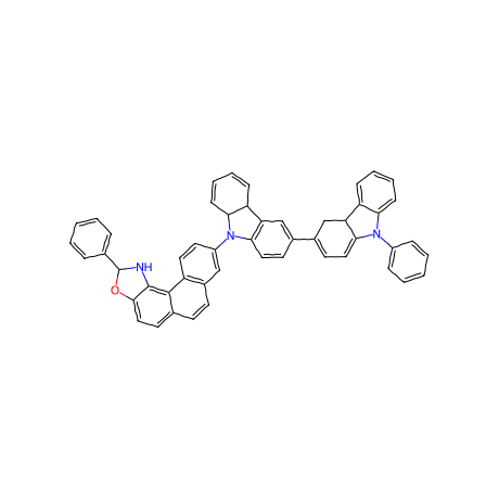 C1=CC2c3cc(C4=CC=C5C(C4)c4ccccc4N5c4ccccc4)ccc3N(c3ccc4c(ccc5ccc6c(c54)NC(c4ccccc4)O6)c3)C2C=C1